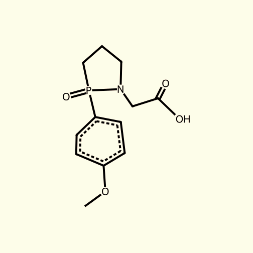 COc1ccc(P2(=O)CCCN2CC(=O)O)cc1